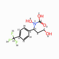 O=C(O)N(O)C(CCO)c1ccc(C(F)(F)F)cc1